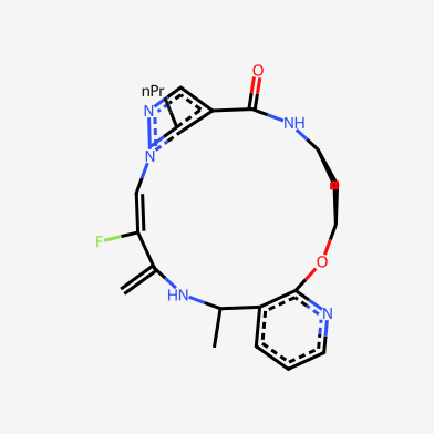 C=C1NC(C)c2cccnc2OC2CC(C2)NC(=O)c2cnn(c2CCC)/C=C\1F